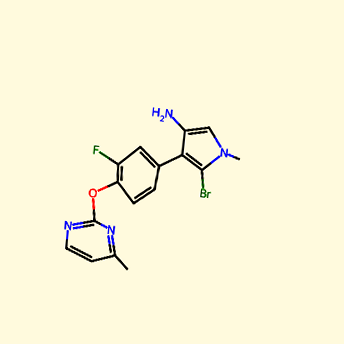 Cc1ccnc(Oc2ccc(-c3c(N)cn(C)c3Br)cc2F)n1